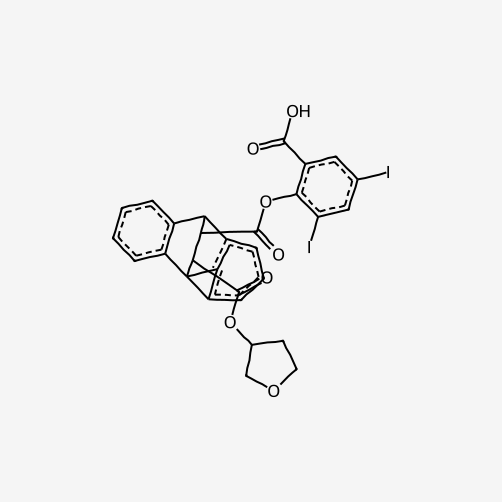 O=C(O)c1cc(I)cc(I)c1OC(=O)C1C2c3ccccc3C3(c4cccc2c43)C1C(=O)OC1CCOC1